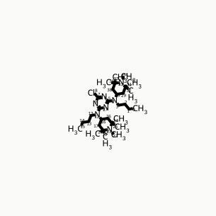 CCCCN(c1nc(Cl)nc(N(CCCC)C2CC(C)(C)N(C)C(C)(C)C2)n1)C1CC(C)(C)N(C)C(C)(C)C1